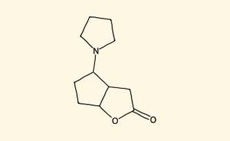 O=C1CC2C(CCC2N2CCCC2)O1